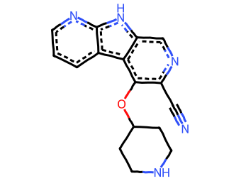 N#Cc1ncc2[nH]c3ncccc3c2c1OC1CCNCC1